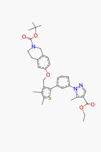 CCOC(=O)c1cnn(-c2cccc(-c3sc(C)c(C)c3COc3ccc4c(c3)CCN(C(=O)OC(C)(C)C)C4)c2)c1C